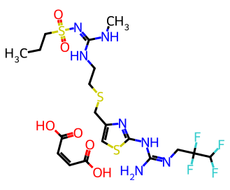 CCCS(=O)(=O)/N=C(/NC)NCCSCc1csc(N/C(N)=N\CC(F)(F)C(F)F)n1.O=C(O)/C=C\C(=O)O